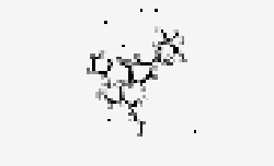 CCOC(=O)c1cnn(C2CCOC2)c1-c1ccc(B2OC(C)(C)C(C)(C)O2)cc1F